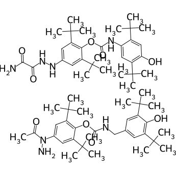 CC(=O)N(N)c1cc(C(C)(C)C)c(OC(=O)NCc2cc(C(C)(C)C)c(O)c(C(C)(C)C)c2)c(C(C)(C)C)c1.CC(C)(C)c1cc(NC(=O)Oc2c(C(C)(C)C)cc(NNC(=O)C(N)=O)cc2C(C)(C)C)c(C(C)(C)C)cc1O